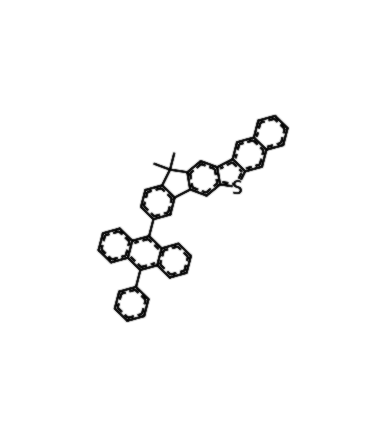 CC1(C)c2ccc(-c3c4ccccc4c(-c4ccccc4)c4ccccc34)cc2-c2cc3sc4cc5ccccc5cc4c3cc21